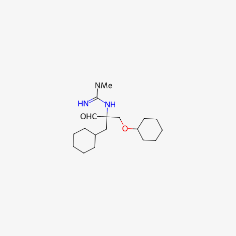 CNC(=N)NC(C=O)(COC1CCCCC1)CC1CCCCC1